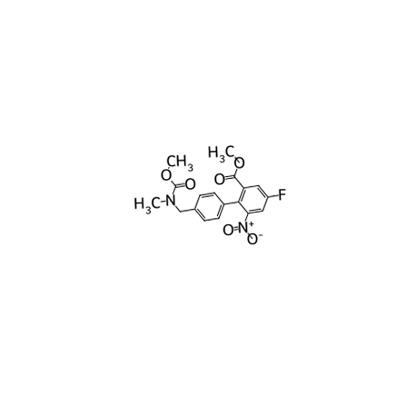 COC(=O)c1cc(F)cc([N+](=O)[O-])c1-c1ccc(CN(C)C(=O)OC)cc1